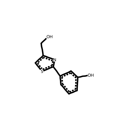 OCc1csc(-c2cccc(O)c2)n1